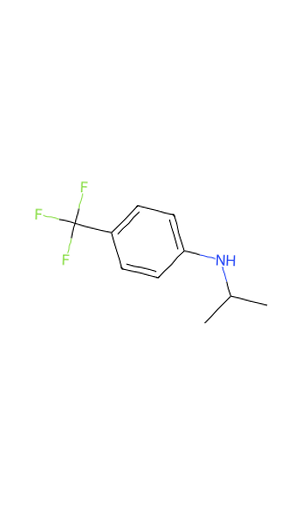 CC(C)Nc1ccc(C(F)(F)F)cc1